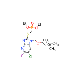 CCOP(=O)(CSc1nc2nc(I)c(Cl)cc2n1COCC[Si](C)(C)C)OCC